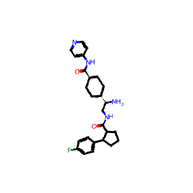 NC(CNC(=O)C1CCCC1c1ccc(F)cc1)[C@H]1CC[C@H](C(=O)Nc2ccncc2)CC1